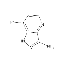 CC(C)c1ccnc2c(N)n[nH]c12